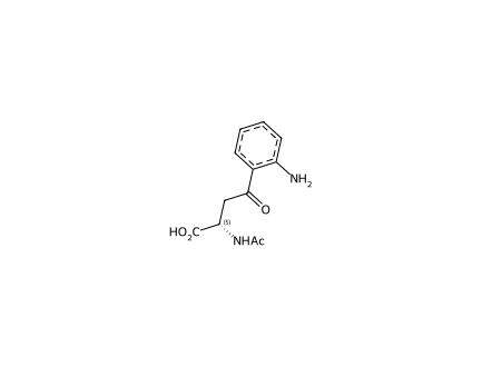 CC(=O)N[C@@H](CC(=O)c1ccccc1N)C(=O)O